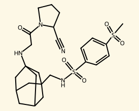 CS(=O)(=O)c1ccc(S(=O)(=O)NCC23CC4CC(C2)CC(NCC(=O)N2CCCC2C#N)(C4)C3)cc1